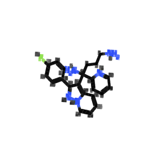 NCCCC(N)(c1ccccn1)c1c(-c2ccc(F)cc2)nn2ccccc12